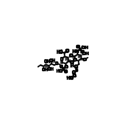 CCC(O)[C@H](O)[C@H](O)C(O)COC[C@@H]1OC(C(=O)O)[C@H](O[C@@H]2OC(COSOOO)[C@H](OC)[C@@H](O)C2NS(=O)(=O)O)[C@@H](O)C1OS(=O)(=O)O